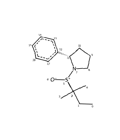 CCC(C)(C)[S+]([O-])N1CCC[C@H]1c1ccccc1